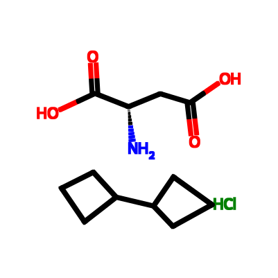 C1CC(C2CCC2)C1.Cl.N[C@@H](CC(=O)O)C(=O)O